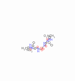 Cc1ccc(NC(=O)N(Cc2ccc(C(=O)NCCC(=O)OC(=O)CCNC(=O)c3ccc(CN(C(=O)Nc4ccc(C)c([N+](=O)[O-])c4)C4CCC(C5CCCCC5)CC4)cc3)cc2)c2ccc(C3CCCCC3)cc2)cc1[N+](=O)[O-]